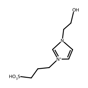 O=S(=O)(O)CCC[n+]1ccn(CCO)c1